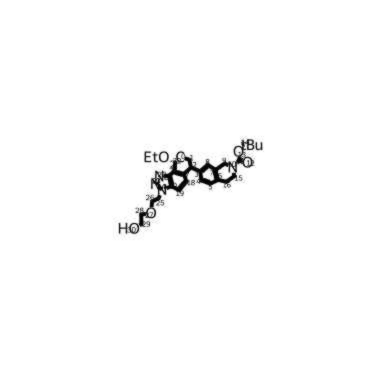 CCOC(=O)CC(c1ccc2c(c1)CN(C(=O)OC(C)(C)C)CC2)c1ccc2c(nnn2CCOCCO)c1C